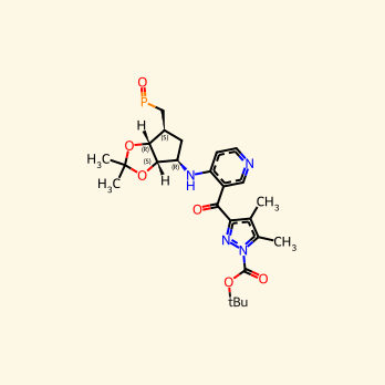 Cc1c(C(=O)c2cnccc2N[C@@H]2C[C@H](CP=O)[C@H]3OC(C)(C)O[C@H]32)nn(C(=O)OC(C)(C)C)c1C